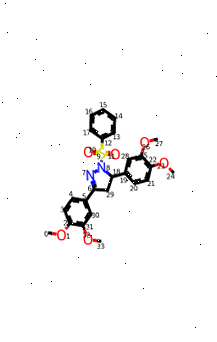 COc1ccc(C2=NN(S(=O)(=O)c3ccccc3)C(c3ccc(OC)c(OC)c3)C2)cc1OC